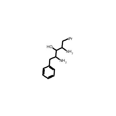 CC(C)CC(N)C(O)C(N)Cc1ccccc1